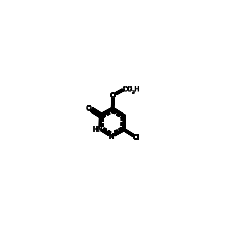 O=C(O)Oc1cc(Cl)n[nH]c1=O